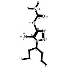 CCCC(CCC)n1nnc(OC(=O)N(C)C)c1N